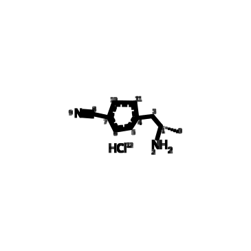 C[C@H](N)Cc1ccc(C#N)cc1.Cl